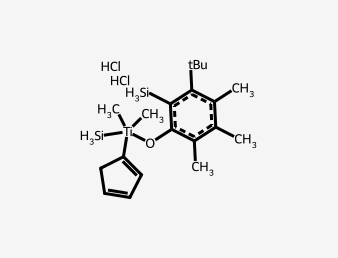 Cc1c(C)c([O][Ti]([CH3])([CH3])([SiH3])[C]2=CC=CC2)c([SiH3])c(C(C)(C)C)c1C.Cl.Cl